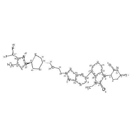 Cn1c(=O)n(C2CCC(=O)NC2=O)c2cccc(-c3ccc4nn(CCOC[C@H]5CC[C@H](n6cc(N)c(C(F)F)n6)CC5)cc4c3)c21